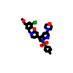 COCc1cc(Cl)cc(Cn2ccc(-c3cn(S(=O)(=O)c4ccc(C)cc4)c4ncc(N5CCOCC5)cc34)cc2=O)c1